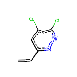 C=Cc1cc(Cl)c(Cl)nn1